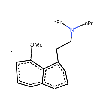 CCCN(CCC)CCc1cccc2cccc(OC)c12